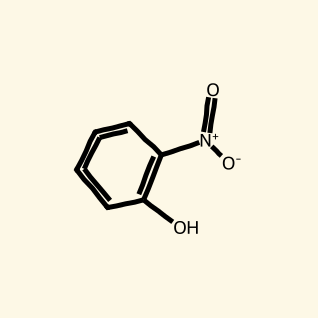 O=[N+]([O-])C1=C(O)C=C=C=C1